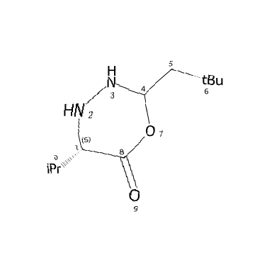 CC(C)[C@@H]1NNC(CC(C)(C)C)OC1=O